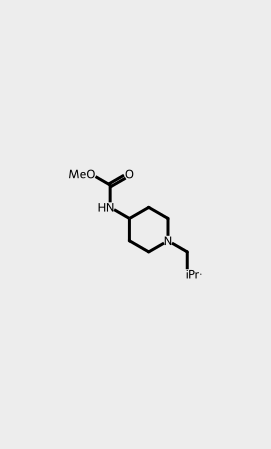 COC(=O)NC1CCN(C[C](C)C)CC1